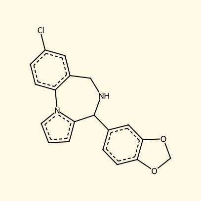 Clc1ccc2c(c1)CNC(c1ccc3c(c1)OCO3)c1cccn1-2